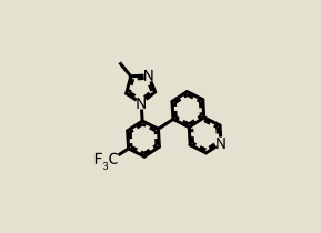 Cc1cn(-c2cc(C(F)(F)F)ccc2-c2cccc3cnccc23)cn1